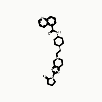 O=C(N[C@H]1CC[C@H](CCN2CCc3sc(N4CCCC4=O)nc3C2)CC1)c1cccc2ncccc12